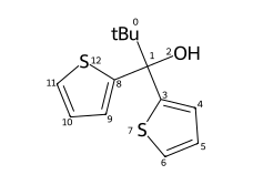 CC(C)(C)C(O)(c1cccs1)c1cccs1